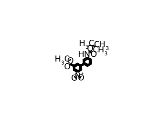 COC(=O)c1cc(-c2cccc(NC(=O)OC(C)(C)C)c2)cc([N+](=O)[O-])c1